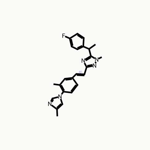 Cc1cn(-c2ccc(/C=C/c3nc(C(C)c4ccc(F)cc4)n(C)n3)cc2C)cn1